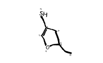 CC1CC(S)=CO1